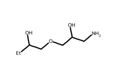 CCC(O)COCC(O)CN